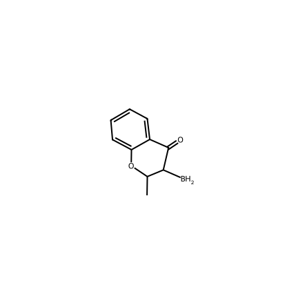 BC1C(=O)c2ccccc2OC1C